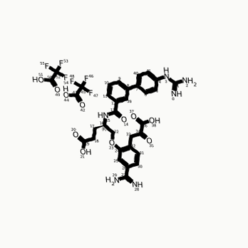 N=C(N)Nc1ccc(-c2cccc(C(=O)N[C@H](CCC(=O)O)COc3cc(C(=N)N)ccc3CC(=O)C(=O)O)c2)cc1.O=C(O)C(F)(F)F.O=C(O)C(F)(F)F